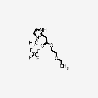 CCOCCOC(=O)Cc1[nH]cc[n+]1C.F[B-](F)(F)F